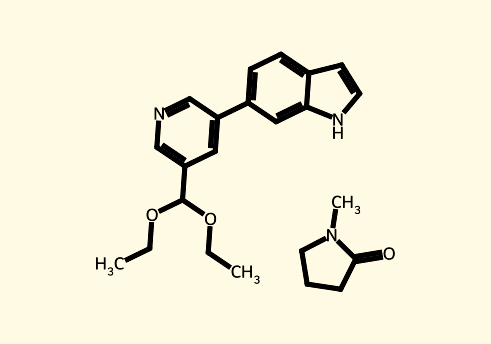 CCOC(OCC)c1cncc(-c2ccc3cc[nH]c3c2)c1.CN1CCCC1=O